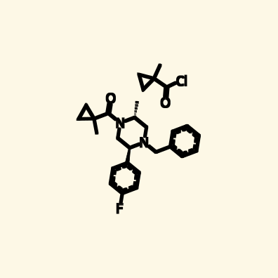 CC1(C(=O)Cl)CC1.C[C@@H]1CN(Cc2ccccc2)[C@@H](c2ccc(F)cc2)CN1C(=O)C1(C)CC1